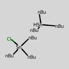 CCC[CH2][SnH]([CH2]CCC)[CH2]CCC.CCC[CH2][Sn]([Cl])([CH2]CCC)[CH2]CCC